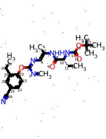 C=N/C(=N\C=C(/C)NC(=O)[C@@H](CC)NC(=O)OC(C)(C)C)Oc1ccc(C#N)cc1CC